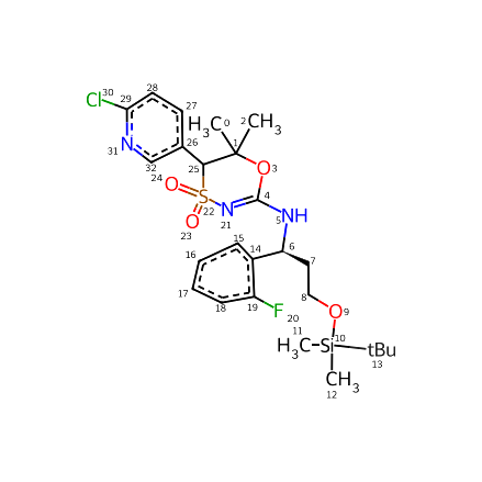 CC1(C)OC(N[C@@H](CCO[Si](C)(C)C(C)(C)C)c2ccccc2F)=NS(=O)(=O)C1c1ccc(Cl)nc1